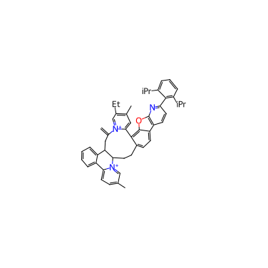 C=C1CC2c3ccccc3-c3ccc(C)c[n+]3C2CCc2ccc3c(oc4nc(-c5c(C(C)C)cccc5C(C)C)ccc43)c2-c2cc(C)c(CC)c[n+]21